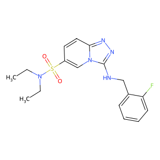 CCN(CC)S(=O)(=O)c1ccc2nnc(NCc3ccccc3F)n2c1